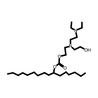 CCCCCCCCCC(CCCCCC)OC(=O)OCCN(CCO)CCN(CC)CC